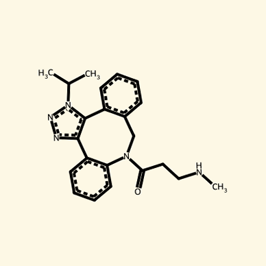 CNCCC(=O)N1Cc2ccccc2-c2c(nnn2C(C)C)-c2ccccc21